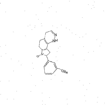 COc1cccc(C2CC3=C(CCC4=C3NN=CC4)[S+]2[O-])c1